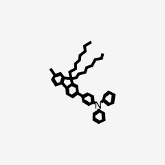 CCCCCCCCC1(CCCCCCCC)c2cc(C)ccc2-c2ccc(-c3ccc(N(c4ccccc4)c4ccccc4)cc3)cc21